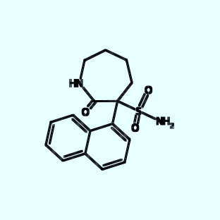 NS(=O)(=O)C1(c2cccc3ccccc23)CCCCNC1=O